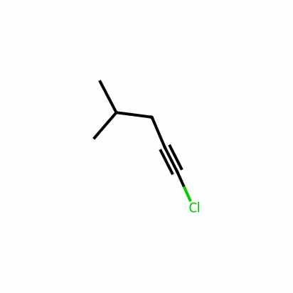 CC(C)CC#CCl